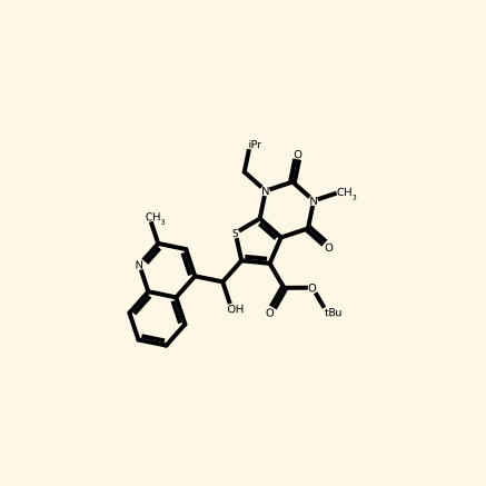 Cc1cc(C(O)c2sc3c(c2C(=O)OC(C)(C)C)c(=O)n(C)c(=O)n3CC(C)C)c2ccccc2n1